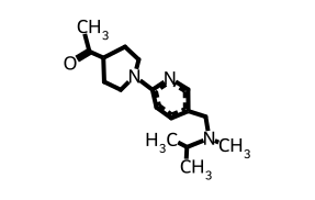 CC(=O)C1CCN(c2ccc(CN(C)C(C)C)cn2)CC1